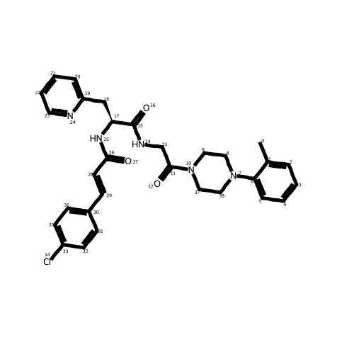 Cc1ccccc1N1CCN(C(=O)CNC(=O)[C@H](Cc2ccccn2)NC(=O)C=Cc2ccc(Cl)cc2)CC1